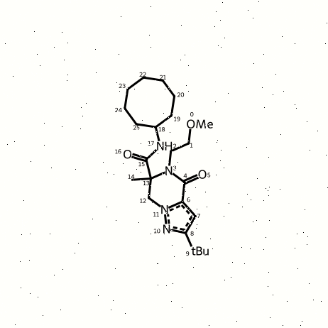 COCCN1C(=O)c2cc(C(C)(C)C)nn2CC1(C)C(=O)NC1CCCCCCC1